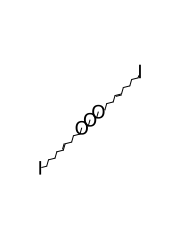 ICCCCC=CCCCOCOCOCCCC=CCCCCI